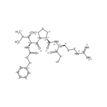 C=C(C(C)C)[C@H](NC(=O)OCc1ccccc1)C(=O)N1CCC[C@H]1C(=O)N[C@@H](CCCNC(=N)N)C(=O)CF